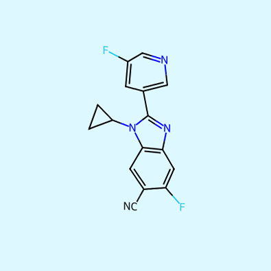 N#Cc1cc2c(cc1F)nc(-c1cncc(F)c1)n2C1CC1